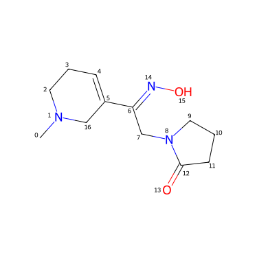 CN1CCC=C(C(CN2CCCC2=O)=NO)C1